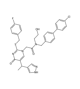 CC(c1cn[nH]c1)c1cn(CC(=O)N(CCO)Cc2ccc(-c3ccc(Cl)cc3)cc2)c(SCc2ccc(F)cc2)nc1=O